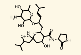 CC(C)/C=C/C(C[C@@H]1OC(O)(CC(O)C(C)C)C[C@H](O)C1C(=O)N[C@@H]1CCNC1=O)OC1OC(C)C(O)C(N)C1O